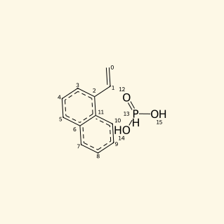 C=Cc1cccc2ccccc12.O=[PH](O)O